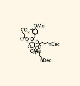 CCCCCCCCCCCCCC(=O)O[C@@H]1[C@@H](OC(=O)CCCCCCCCCCCCC)[C@@H](OC)O[C@H](COC(=O)CCC(=O)O)[C@H]1OCc1ccc(OC)cc1